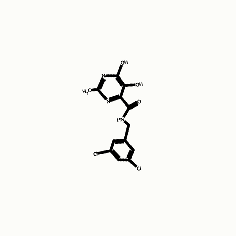 Cc1nc(O)c(O)c(C(=O)NCc2cc(Cl)cc(Cl)c2)n1